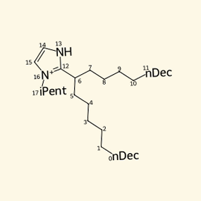 CCCCCCCCCCCCCCCC(CCCCCCCCCCCCCC)c1[nH]cc[n+]1C(C)CCC